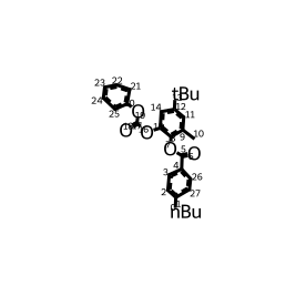 CCCCc1ccc(C(=O)Oc2c(C)cc(C(C)(C)C)cc2OC(=O)Oc2ccccc2)cc1